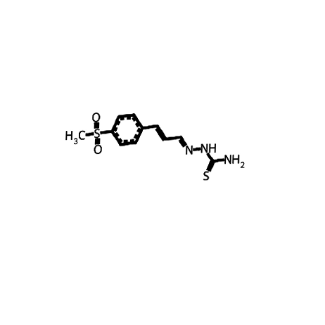 CS(=O)(=O)c1ccc(C=CC=NNC(N)=S)cc1